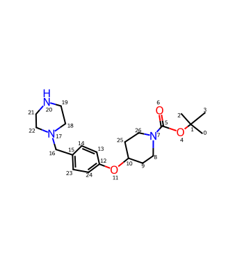 CC(C)(C)OC(=O)N1CCC(Oc2ccc(CN3CCNCC3)cc2)CC1